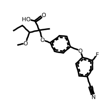 CCC(OC)C(C)(Oc1ccc(Oc2ccc(C#N)cc2F)cc1)C(=O)O